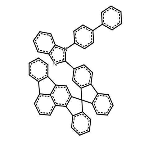 c1ccc(-c2ccc(-n3c(-c4ccc5c(c4)C4(c6ccccc6-5)c5ccccc5-c5c4cc4c6c(cccc56)-c5ccccc5-4)nc4ccccc43)cc2)cc1